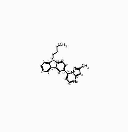 CCCCn1c2ccccc2c2cc(-c3ccnc4cc(C)nn34)ccc21